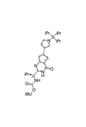 CC(C)[C@H](NC(=O)OC(C)(C)C)c1nc2cc(-c3ccn([Si](C(C)C)(C(C)C)C(C)C)c3)sc2c(=O)[nH]1